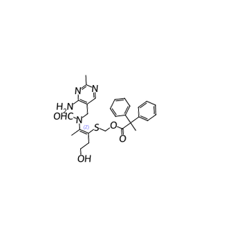 C/C(=C(\CCO)SCOC(=O)C(C)(c1ccccc1)c1ccccc1)N(C=O)Cc1cnc(C)nc1N